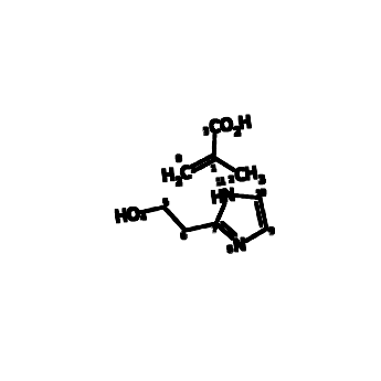 C=C(C)C(=O)O.OCCc1ncc[nH]1